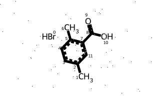 Br.Cc1ccc(C)c(C(=O)O)c1